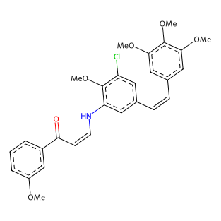 COc1cccc(C(=O)/C=C\Nc2cc(/C=C\c3cc(OC)c(OC)c(OC)c3)cc(Cl)c2OC)c1